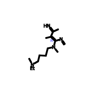 C=N/C(=C(/C)C(C)=N)N(C)CCCCN(C)CC